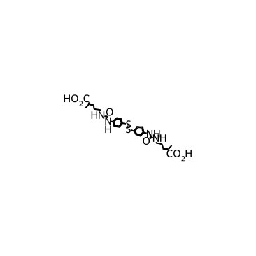 CC(=CCCNC(=O)Nc1ccc(SSc2ccc(NC(=O)NCCC=C(C)C(=O)O)cc2)cc1)C(=O)O